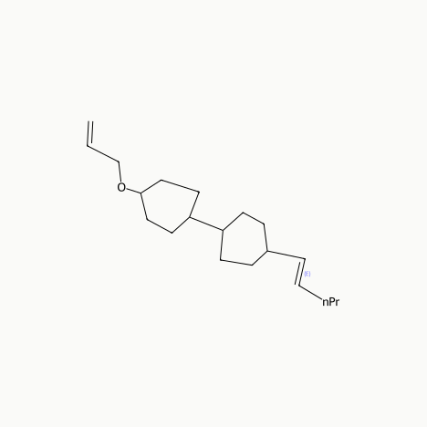 C=CCOC1CCC(C2CCC(/C=C/CCC)CC2)CC1